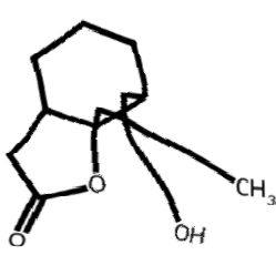 CC1(O)CC2CCCC3CC(=O)OC32C1